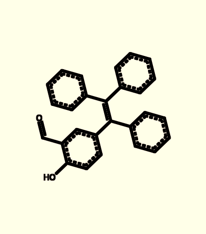 O=Cc1cc(C(=C(c2ccccc2)c2ccccc2)c2ccccc2)ccc1O